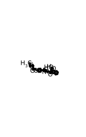 CN1CCN(C(=O)COc2ccc(-c3csc(CNC(=O)C4(CC(=O)O)Cc5ccccc5C4)n3)cc2)CC1